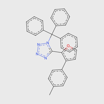 Cc1ccc(-c2ccoc2-c2nnnn2C(c2ccccc2)(c2ccccc2)c2ccccc2)cc1